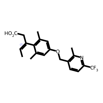 C/C=C(/CC(=O)O)c1c(C)cc(OCc2ccc(C(F)(F)F)nc2C)cc1C